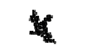 COP1(=O)OC[C@H]2O[C@@H](n3cnc4c(N)ncnc43)C(OP(=O)(SCOC(=O)C(C)(C)C)OC[C@H]3O[C@@H](n4cnc5c(N)ncnc54)C(F)C3O1)C2O